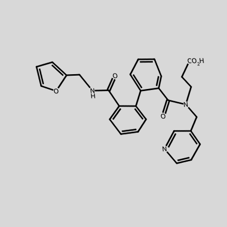 O=C(O)CCN(Cc1cccnc1)C(=O)c1ccccc1-c1ccccc1C(=O)NCc1ccco1